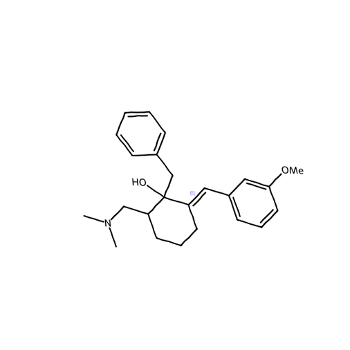 COc1cccc(/C=C2\CCCC(CN(C)C)C2(O)Cc2ccccc2)c1